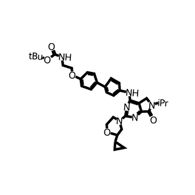 CC(C)N1Cc2c(Nc3ccc(-c4ccc(OCCNC(=O)OC(C)(C)C)cc4)cc3)nc(N3CCOC(C4CC4)C3)nc2C1=O